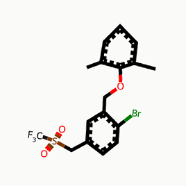 Cc1cccc(C)c1OCc1cc(CS(=O)(=O)C(F)(F)F)ccc1Br